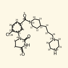 O=C1CCN(c2cc(C(=O)N3CCC(CCCN4CCNCC4)CC3)ccc2Cl)C(=O)N1